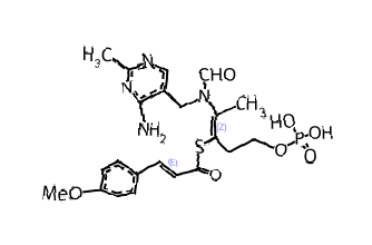 COc1ccc(/C=C/C(=O)S/C(CCOP(=O)(O)O)=C(/C)N(C=O)Cc2cnc(C)nc2N)cc1